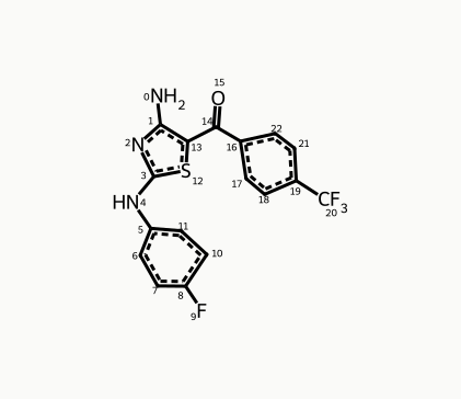 Nc1nc(Nc2ccc(F)cc2)sc1C(=O)c1ccc(C(F)(F)F)cc1